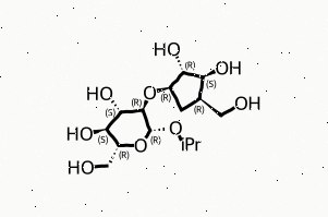 CC(C)O[C@@H]1O[C@H](CO)[C@@H](O)[C@H](O)[C@H]1O[C@@H]1C[C@H](CO)[C@H](O)[C@H]1O